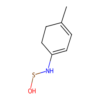 CC1=CC=C(NSO)CC1